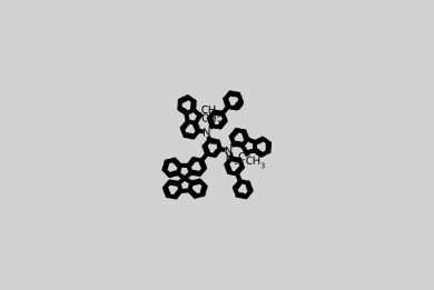 CC1(C)c2ccccc2-c2cccc(N(c3ccc(-c4c#cccc4)cc3)c3cc(-c4ccc5c(c4)-c4ccccc4C54c5ccccc5-c5ccccc54)cc(N(c4ccc(-c5ccccc5)cc4)c4cccc5c4C(C)(C)c4ccccc4-5)c3)c21